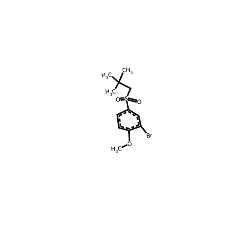 COc1ccc(S(=O)(=O)CC(C)(C)C)cc1Br